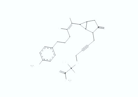 COC(=O)C(C)(C)OCC#CCC1C(=O)CC2C(C(C)=C(C)CCCc3ccc(OC)cc3)C12